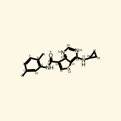 Cc1ccc(C)c(NC(=O)c2csc3c(NC4CC4)ncnc23)c1